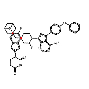 Nc1ncnc2c1c(-c1ccc(Oc3ccccc3)cc1)nn2C1CCC(CN2CC3CC(C2)N3c2cc3cn(C4CCC(=O)NC4=O)cc3cc2F)CC1F